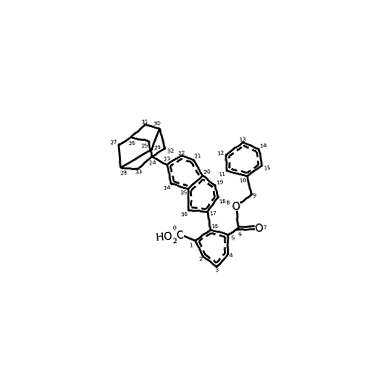 O=C(O)c1cccc(C(=O)OCc2ccccc2)c1-c1ccc2ccc(C34CC5CC(CC(C5)C3)C4)cc2c1